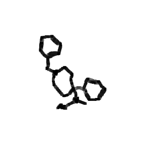 CC(=O)N(C)C1(c2ccccc2)CCN(Cc2ccccc2)CC1